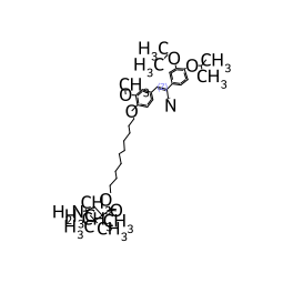 COc1cc(/C=C(\C#N)c2ccc(OC(C)C)c(OC(C)C)c2)ccc1OCCCCCCCCCCCOC(=O)C(C)(CC(C)(C)N)C(C)(C)C